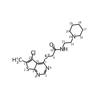 Cc1sc2ncnc(SCC(=O)NCCN3CCCCC3)c2c1Cl